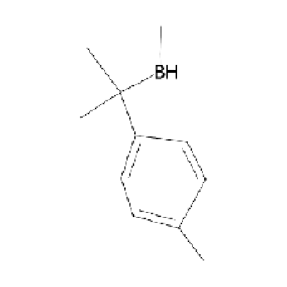 CBC(C)(C)c1ccc(C)cc1